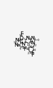 Cc1nc2ncc(-n3ccc4ncnc(OCF)c43)cc2n1Cc1cc(F)cc(F)c1